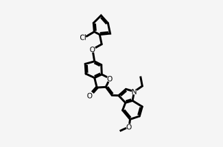 CCn1cc(/C=C2\Oc3cc(OCc4ccccc4Cl)ccc3C2=O)c2cc(OC)ccc21